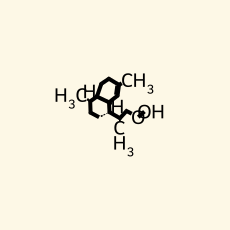 CC1=C[C@H]2[C@@H](CC1)[C@H](C)CC[C@H]2[C@@H](C)COO